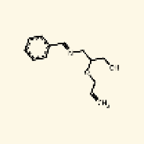 C=CCOC(CO)CN=Cc1ccccc1